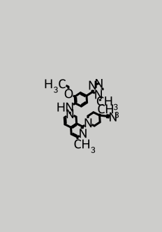 CCOc1cc(-c2nncn2C)ccc1NN1C=Cc2cc(C)nc(N3CCC(C)(C#N)CC3)c2C1